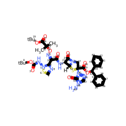 CC(C)(C)OC(=O)NN1SC=NC1/C(=N/OC(C)(C)C(=O)OC(C)(C)C)C(=O)N[C@@H]1C(=O)N2C[C@@](C(=O)OC(c3ccccc3)c3ccccc3)(n3ncn(N)c3=O)S[C@H]12